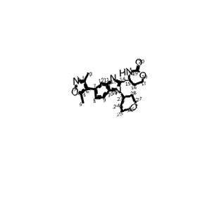 Cc1noc(C)c1-c1ccc2c(c1)nc([C@@H]1CCOC(=O)N1)n2C1CCOCC1